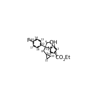 CCOC(=O)c1cnn([C@](CO)(CC2CC2)c2ccc(F)cc2)c1